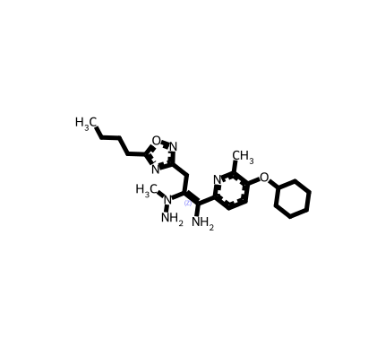 CCCCc1nc(C/C(=C(/N)c2ccc(OC3CCCCC3)c(C)n2)N(C)N)no1